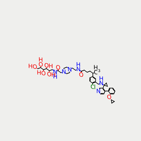 CC(CCCC(=O)NCCN1CCN(CC(=O)NCC(O)C(O)C(O)C(O)CO)CC1)c1ccc(Cl)c(CNC2(c3cnccc3-c3ccccc3OC3CC3)CC2)c1